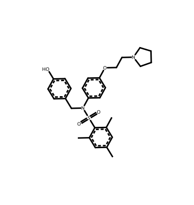 Cc1cc(C)c(S(=O)(=O)N(Cc2ccc(O)cc2)c2ccc(OCCN3CCCC3)cc2)c(C)c1